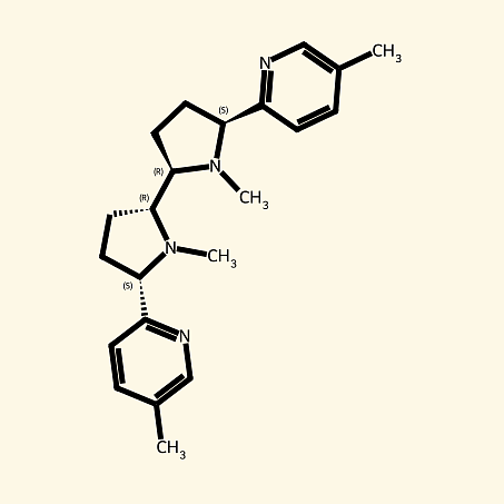 Cc1ccc([C@@H]2CC[C@H]([C@H]3CC[C@@H](c4ccc(C)cn4)N3C)N2C)nc1